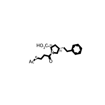 CC(=O)SCCC(=O)N1C[C@@H](CCc2ccccc2)C[C@H]1C(=O)O